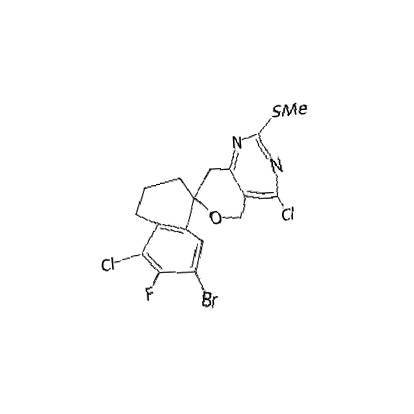 CSc1nc(Cl)c2c(n1)CC1(CCCc3c1cc(Br)c(F)c3Cl)OC2